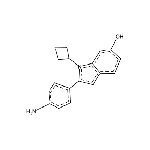 Nc1ccc(-c2cc3ccc(O)cc3n2C2CCC2)cc1